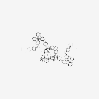 C=Cc1ccc(OC2=CCC(C3(C4C=CC=CC4)c4ccccc4-c4ccc(C5C=CC(N(C6=CC7C(C=C6)OC6C=CC(N(c8cc(F)c(C9=CCC(F)C=C9)cc8F)C8C=CC(c9ccc%10c(c9)C(C9=CCC(Oc%11ccc(C=C)cc%11)C=C9)(C9C=CC=CC9)C9CCC=CC%109)CC8)=CC67)C6=CC(F)=C(C7=CC=C(F)CC7)CC6F)=CC5)cc43)C=C2)cc1